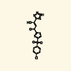 O=C(C=C(O)c1nn[nH]n1)c1ccc(S(=O)(=O)c2ccc(Cl)cc2)s1